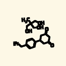 CC(C)Cc1ccc(C2CC(=O)CC(=O)C2)cc1.CC(CO)(CO)CO